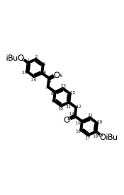 CC(C)COc1ccc(C(=O)Cc2ccc(CC(=O)c3ccc(OCC(C)C)cc3)cc2)cc1